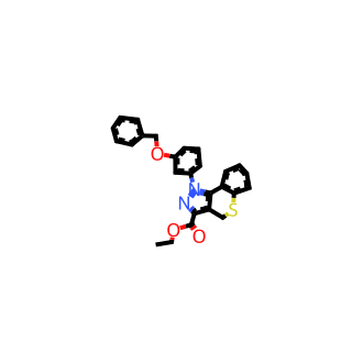 CCOC(=O)c1nn(-c2cccc(OCc3ccccc3)c2)c2c1CSc1ccccc1-2